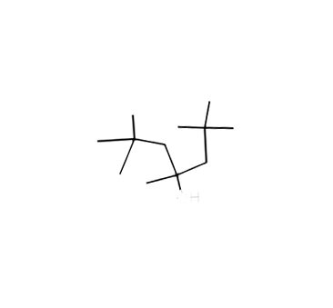 CC(C)(C)CC(C)(O)CC(C)(C)C